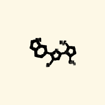 Cc1ccc(C)n1-c1cc(Br)n(-c2ccc3cc[nH]c3c2)n1